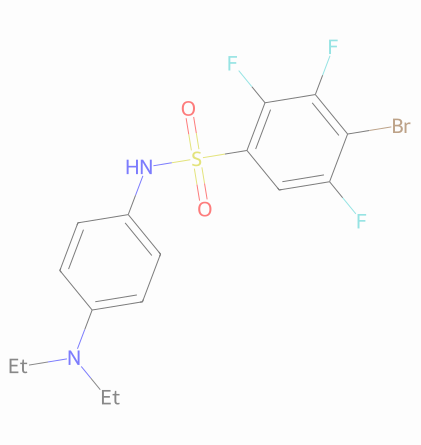 CCN(CC)c1ccc(NS(=O)(=O)c2cc(F)c(Br)c(F)c2F)cc1